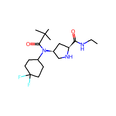 CCNC(=O)[C@@H]1C[C@H](N(C(=O)C(C)(C)C)C2CCC(F)(F)CC2)CN1